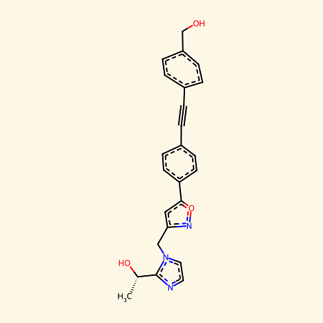 C[C@H](O)c1nccn1Cc1cc(-c2ccc(C#Cc3ccc(CO)cc3)cc2)on1